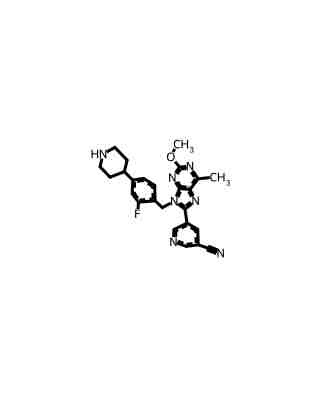 COc1nc(C)c2nc(-c3cncc(C#N)c3)n(Cc3ccc(C4CCNCC4)cc3F)c2n1